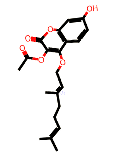 CC(=O)Oc1c(OC/C=C(\C)CCC=C(C)C)c2ccc(O)cc2oc1=O